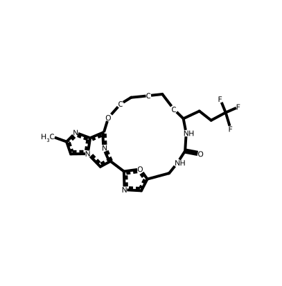 Cc1cn2cc3nc(c2n1)OCCCCCC(CCC(F)(F)F)NC(=O)NCc1cnc-3o1